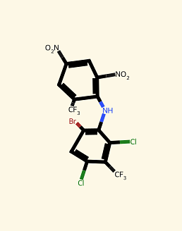 O=[N+]([O-])c1cc([N+](=O)[O-])c(Nc2c(Br)cc(Cl)c(C(F)(F)F)c2Cl)c(C(F)(F)F)c1